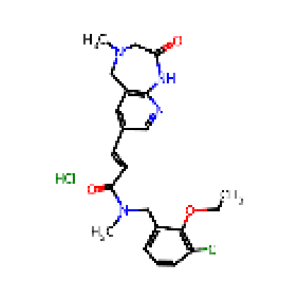 CCOc1c(Cl)cccc1CN(C)C(=O)/C=C/c1cnc2c(c1)CN(C)CC(=O)N2.Cl